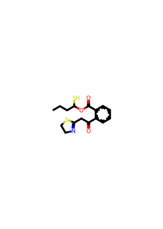 CCCC(S)OC(=O)c1ccccc1C(=O)CC1=NCCS1